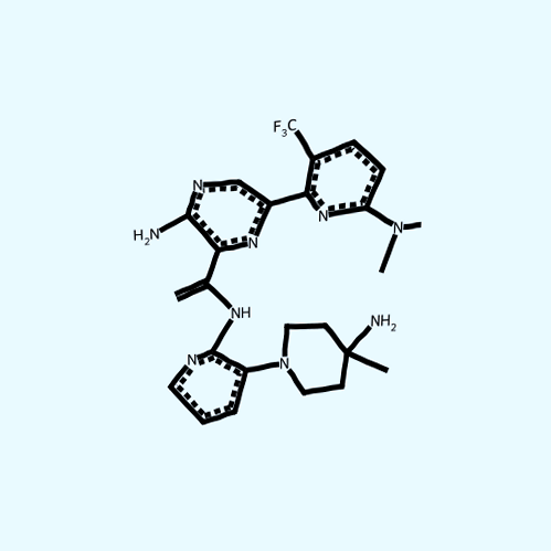 C=C(Nc1ncccc1N1CCC(C)(N)CC1)c1nc(-c2nc(N(C)C)ccc2C(F)(F)F)cnc1N